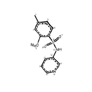 COc1cc(C)ccc1S(=O)(=O)Nc1cccnc1